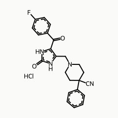 Cl.N#CC1(c2ccccc2)CCN(Cc2[nH]c(=O)[nH]c2C(=O)c2ccc(F)cc2)CC1